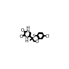 CC1(c2c[nH]c(=O)c(=O)[nH]2)COc2cc(Cl)ccc2S1